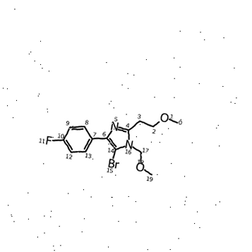 COCCc1nc(-c2ccc(F)cc2)c(Br)n1COC